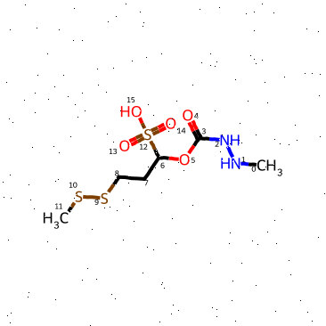 CNNC(=O)OC(CCSSC)S(=O)(=O)O